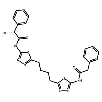 O=C(Cc1ccccc1)Nc1nnc(CCCCc2nnc(NC(=O)[C@H](O)c3ccccc3)s2)s1